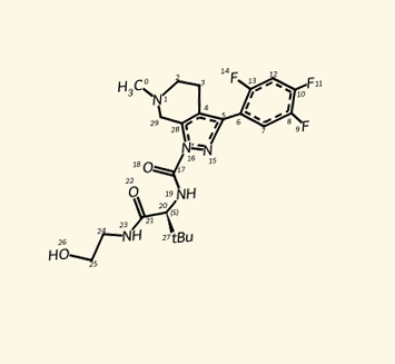 CN1CCc2c(-c3cc(F)c(F)cc3F)nn(C(=O)N[C@H](C(=O)NCCO)C(C)(C)C)c2C1